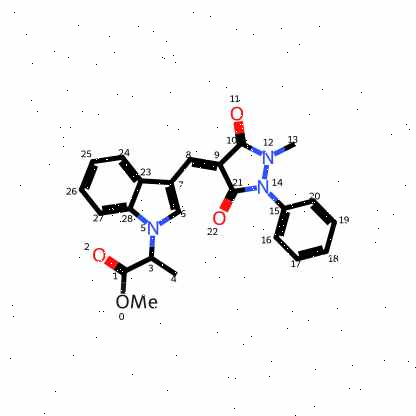 COC(=O)C(C)n1cc(/C=C2/C(=O)N(C)N(c3ccccc3)C2=O)c2ccccc21